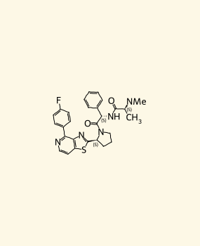 CN[C@@H](C)C(=O)N[C@H](C(=O)N1CCC[C@H]1c1nc2c(-c3ccc(F)cc3)nccc2s1)c1ccccc1